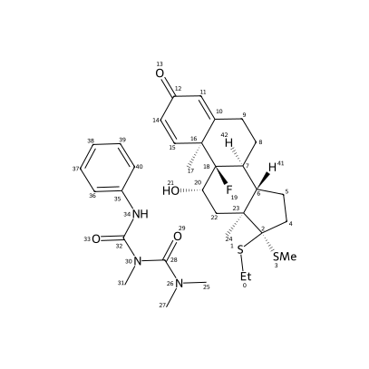 CCS[C@]1(SC)CC[C@H]2[C@@H]3CCC4=CC(=O)C=C[C@]4(C)[C@@]3(F)[C@@H](O)C[C@@]21C.CN(C)C(=O)N(C)C(=O)Nc1ccccc1